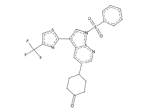 O=C1CCC(c2cnc3c(c2)c(-c2nc(C(F)(F)F)cs2)cn3S(=O)(=O)c2ccccc2)CC1